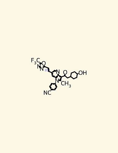 Cc1c(C(=O)CC2CCC(O)CC2)c2ncc(/C=C/c3nnc(C(F)(F)F)o3)cc2n1-c1ccc(C#N)cc1